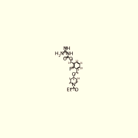 CCC(=O)N1CCC(OCc2cccc(COC(=O)NC(=N)N)c2F)CC1